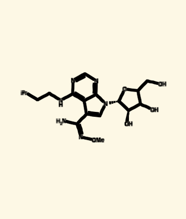 CO/N=C(/N)c1cn([C@@H]2OC(CO)C(O)[C@H]2O)c2ncnc(NCCC(C)C)c12